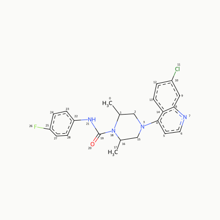 CC1CN(c2ccnc3cc(Cl)ccc23)CC(C)N1C(=O)Nc1ccc(F)cc1